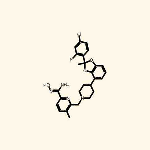 Cc1ccc(C(N)=NO)nc1CN1CCC(c2cccc3c2OC(C)(c2ccc(Cl)cc2F)O3)CC1